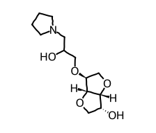 OC(CO[C@H]1CO[C@H]2[C@@H]1OC[C@H]2O)CN1CCCC1